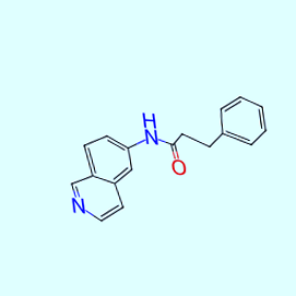 O=C(CCc1ccccc1)Nc1ccc2cnccc2c1